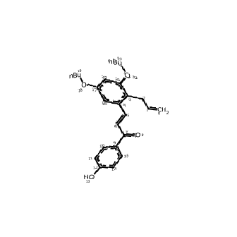 C=CCc1c(C=CC(=O)c2ccc(O)cc2)cc(OCCCC)cc1OCCCC